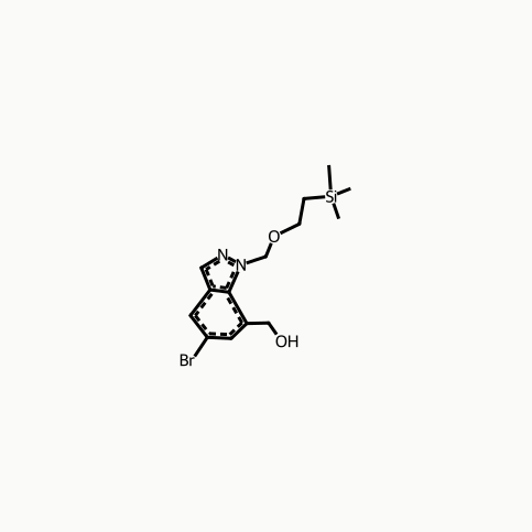 C[Si](C)(C)CCOCn1ncc2cc(Br)cc(CO)c21